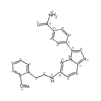 COc1ccccc1CCNc1ccc2ncc(-c3ccc(C(N)=O)cc3)n2n1